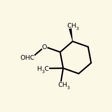 C[C@H]1CCCC(C)(C)C1OC=O